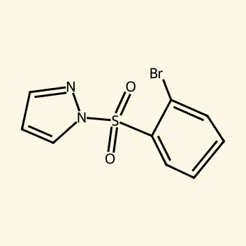 O=S(=O)(c1ccccc1Br)n1cccn1